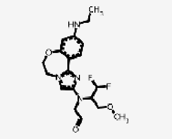 CCNc1ccc2c(c1)OCCn1cc(N(CC=O)C(COC)C(F)F)nc1-2